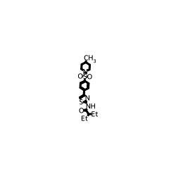 CCC(CC)C(=O)Nc1nc(-c2ccc(S(=O)(=O)N3CCC(C)CC3)cc2)cs1